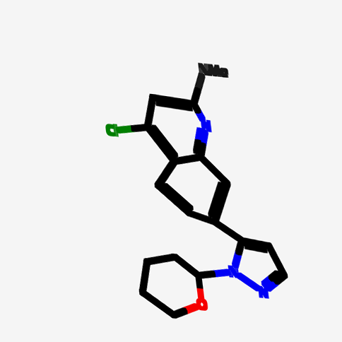 CNc1cc(Cl)c2ccc(-c3ccnn3C3CCCCO3)cc2n1